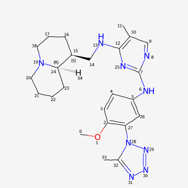 COc1ccc(Nc2ncc(C)c(NC[C@@H]3CCCN4CCCC[C@H]34)n2)cc1-n1nnnc1C